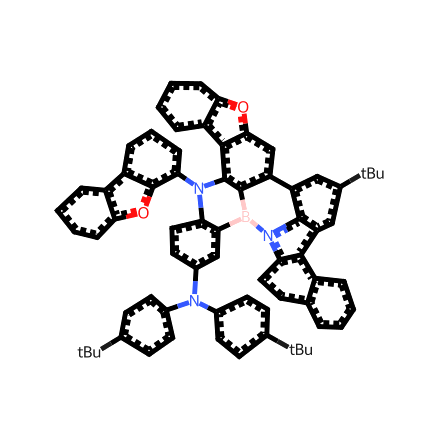 CC(C)(C)c1ccc(N(c2ccc(C(C)(C)C)cc2)c2ccc3c(c2)B2c4c(cc5oc6ccccc6c5c4N3c3cccc4c3oc3ccccc34)-c3cc(C(C)(C)C)cc4c5c6ccccc6ccc5n2c34)cc1